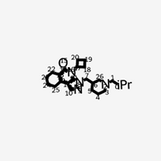 CC(C)CN1CCCC(Cn2ncc3c4c(c(=O)n(C5CCC5)c32)CCCC4)C1